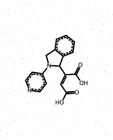 O=C(O)/C=C(\C(=O)O)C1c2ccccc2CN1c1ccncc1